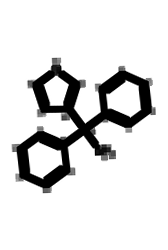 NC(c1ccccc1)(c1ccccc1)c1ccoc1